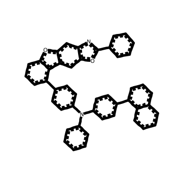 c1ccc(-c2nc3cc4oc5cccc(-c6ccc(N(c7ccccc7)c7ccc(-c8cccc9ccccc89)cc7)cc6)c5c4cc3o2)cc1